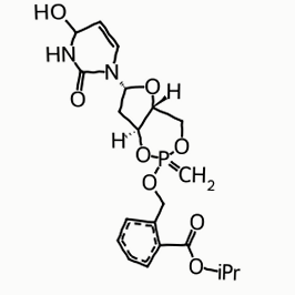 C=P1(OCc2ccccc2C(=O)OC(C)C)OC[C@H]2O[C@@H](N3C=CC(O)NC3=O)C[C@@H]2O1